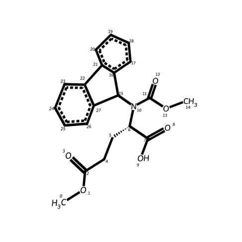 COC(=O)CC[C@@H](C(=O)O)N(C(=O)OC)C1c2ccccc2-c2ccccc21